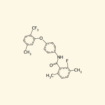 Cc1ccc(C(F)(F)F)c(Oc2ccc(NC(=O)c3c(C)ccc(C)c3F)cc2)c1